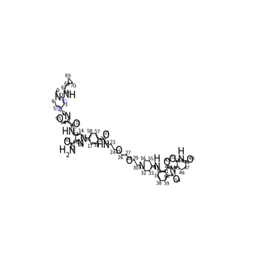 C=N/C(=C\C(=C/C)c1nc(C(=O)Nc2cn(-c3ccc(C(=O)NCCOCCOCCN4CCC(Nc5cccc6c5C(=O)N(C5CCC(=O)NC5=O)C6=O)CC4)cc3)nc2C(N)=O)co1)NCC1CC1